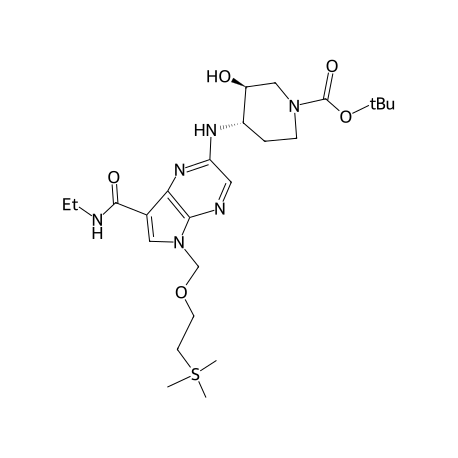 CCNC(=O)c1cn(COCCS(C)(C)C)c2ncc(N[C@H]3CCN(C(=O)OC(C)(C)C)C[C@@H]3O)nc12